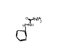 NC(=O)NPc1ccccc1